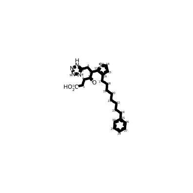 O=C(O)CCC(=O)C(Cc1nnn[nH]1)c1sccc1CCCCCCCCc1ccccc1